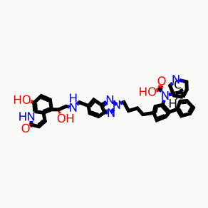 O=C(O)N(c1cc(CCCCn2nc3ccc(CNC[C@@H](O)c4ccc(O)c5[nH]c(=O)ccc45)cc3n2)ccc1-c1ccccc1)[C@H]1CN2CCC1CC2